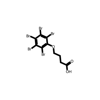 O=C(O)CCCOc1c(Br)c(Br)c(Br)c(Br)c1Br